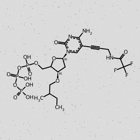 CCC(C)CO[C@@H]1C[C@H](n2cc(C#CCNC(=O)C(F)(F)F)c(N)nc2=O)OC1COP(=O)(O)OP(=O)(O)OP(=O)(O)O